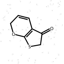 O=C1CSC2=C1C=CCO2